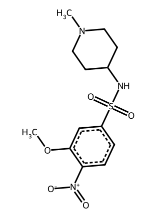 COc1cc(S(=O)(=O)NC2CCN(C)CC2)ccc1[N+](=O)[O-]